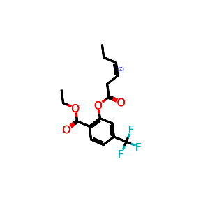 CC/C=C\CC(=O)Oc1cc(C(F)(F)F)ccc1C(=O)OCC